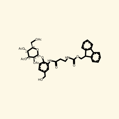 CC(=O)OC[C@H]1O[C@H](Oc2ccc(CO)cc2NC(=O)CCNC(=O)OCC2c3ccccc3-c3ccccc32)[C@@H](OC(C)=O)[C@@H](OC(C)=O)[C@@H]1OC(C)=O